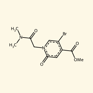 COC(=O)c1cc(=O)n(CC(=O)N(C)C)cc1Br